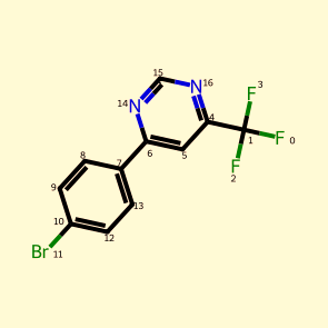 FC(F)(F)c1cc(-c2ccc(Br)cc2)n[c]n1